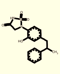 CC(Cc1ccc(N2CC(=O)NS2(=O)=O)c(O)c1)c1ccccc1